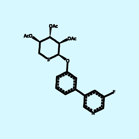 CC(=O)O[C@@H]1[C@@H](OC(C)=O)[C@@H](Oc2cccc(-c3cncc(F)c3)c2)SC[C@H]1OC(C)=O